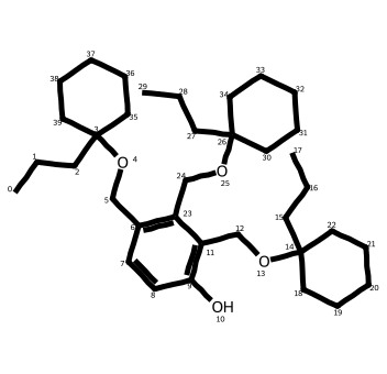 CCCC1(OCc2ccc(O)c(COC3(CCC)CCCCC3)c2COC2(CCC)CCCCC2)CCCCC1